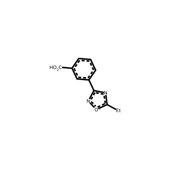 CCc1nc(-c2cccc(C(=O)O)c2)no1